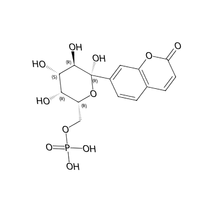 O=c1ccc2ccc([C@@]3(O)O[C@H](COP(=O)(O)O)[C@H](O)[C@H](O)[C@H]3O)cc2o1